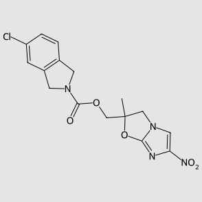 CC1(COC(=O)N2Cc3ccc(Cl)cc3C2)Cn2cc([N+](=O)[O-])nc2O1